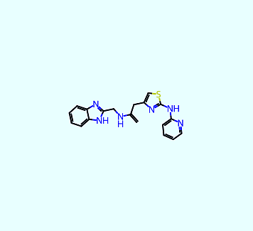 C=C(Cc1csc(Nc2ccccn2)n1)NCc1nc2ccccc2[nH]1